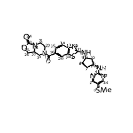 CSc1cnc(N[C@H]2CC[C@H](Nc3nc4ccc(C(=O)N5CCN6C(=O)OCC6C5)cc4s3)C2)nc1